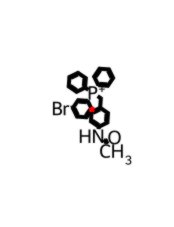 CC(=O)Nc1ccc(C[P+](c2ccccc2)(c2ccccc2)c2ccccc2)cc1.[Br-]